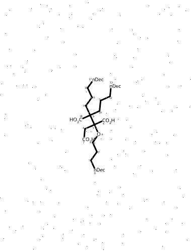 CCCCCCCCCCCCCOC(CC(=O)O)(C(=O)O)C(CCCCCCCCCCCCC)(CCCCCCCCCCCCC)C(=O)O